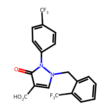 O=C(O)c1cn(Cc2ccccc2C(F)(F)F)n(-c2ccc(C(F)(F)F)cc2)c1=O